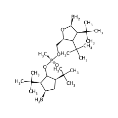 B[C@@H]1C[C@H](C(C)(C)C)C(O[P@@](C)(=O)OC[C@H]2O[C@@H](B)[C@@H](C(C)(C)C)C2C(C)(C)C)[C@@H]1C(C)(C)C